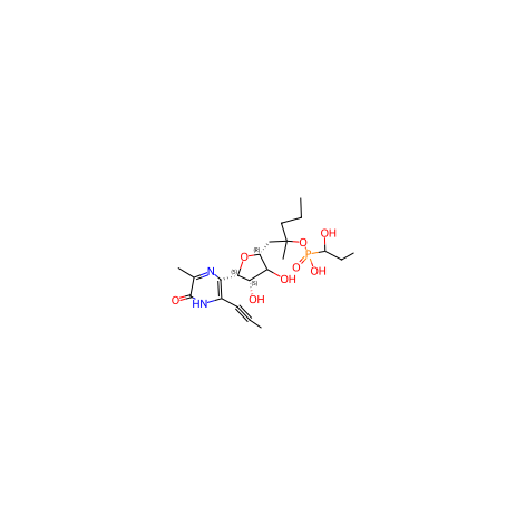 CC#Cc1[nH]c(=O)c(C)nc1[C@@H]1O[C@H](CC(C)(CCC)OP(=O)(O)C(O)CC)C(O)[C@@H]1O